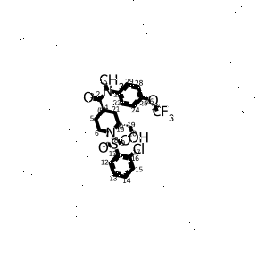 CN(C(=O)[C@@H]1CCN(S(=O)(=O)c2ccccc2Cl)[C@@H](CO)C1)c1ccc(OC(F)(F)F)cc1